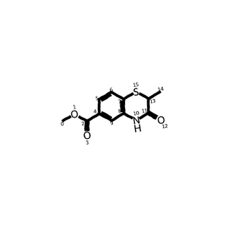 COC(=O)c1ccc2c(c1)NC(=O)C(C)S2